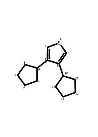 c1scc(C2CCCC2)c1C1CCCC1